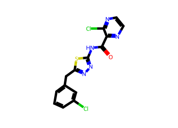 O=C(Nc1nnc(Cc2cccc(Cl)c2)s1)c1nccnc1Cl